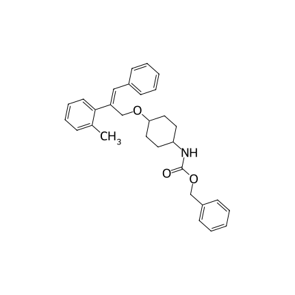 Cc1ccccc1C(=Cc1ccccc1)COC1CCC(NC(=O)OCc2ccccc2)CC1